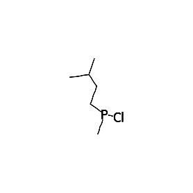 CC(C)CCP(C)Cl